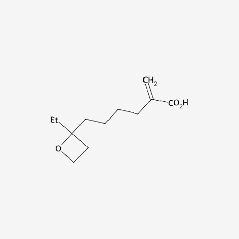 C=C(CCCCC1(CC)CCO1)C(=O)O